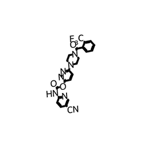 N#Cc1ccc(NC(=O)Oc2ccc(N3CCN(C(=O)c4ccccc4C(F)(F)F)CC3)nn2)nc1